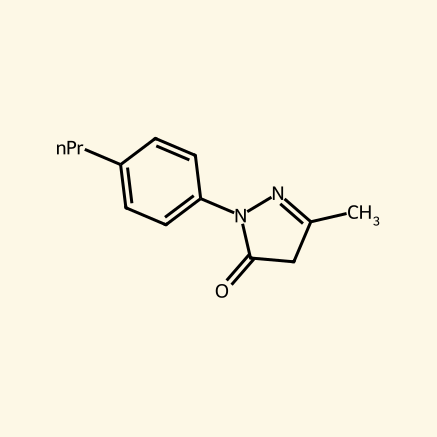 CCCc1ccc(N2N=C(C)CC2=O)cc1